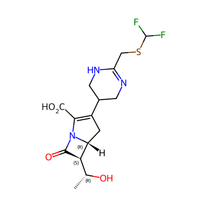 C[C@@H](O)[C@H]1C(=O)N2C(C(=O)O)=C(C3CN=C(CSC(F)F)NC3)C[C@H]12